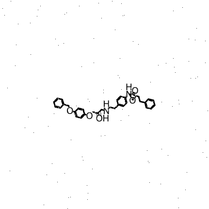 O=S(=O)(CCc1ccccc1)Nc1ccc(CCNC[C@H](O)COc2ccc(OCc3ccccc3)cc2)cc1